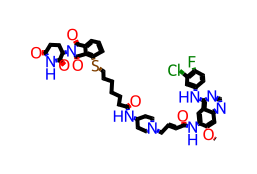 COc1cc2ncnc(Nc3ccc(F)c(Cl)c3)c2cc1NC(=O)/C=C/CN1CCC(NC(=O)CCCCCCSc2cccc3c2C(=O)N(C2CCC(=O)NC2=O)C3=O)CC1